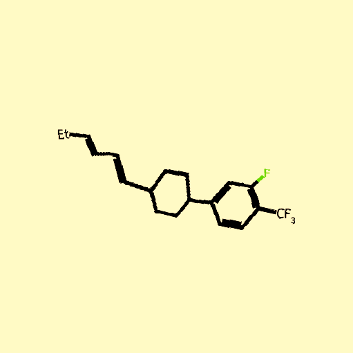 CCC=CC=CC1CCC(c2ccc(C(F)(F)F)c(F)c2)CC1